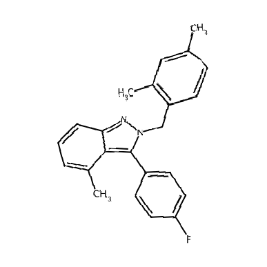 Cc1ccc(Cn2nc3cccc(C)c3c2-c2ccc(F)cc2)c(C)c1